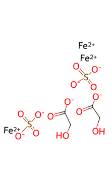 O=C([O-])CO.O=C([O-])CO.O=S(=O)([O-])[O-].O=S(=O)([O-])[O-].[Fe+2].[Fe+2].[Fe+2]